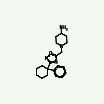 NC1CCN(Cc2nc(C3(c4ccccc4)CCCCC3)no2)CC1